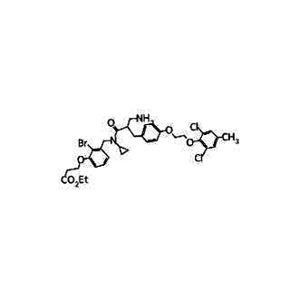 CCOC(=O)CCOc1cccc(CN(C(=O)C(CN)Cc2ccc(OCCOc3c(Cl)cc(C)cc3Cl)cc2)C2CC2)c1Br